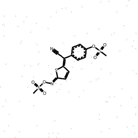 CS(=O)(=O)ON=C1C=CC(=C(C#N)c2ccc(OS(C)(=O)=O)cc2)S1